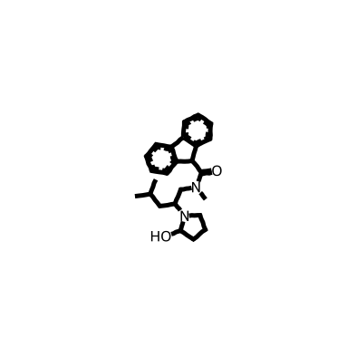 CC(C)CC(CN(C)C(=O)C1c2ccccc2-c2ccccc21)N1CCCC1O